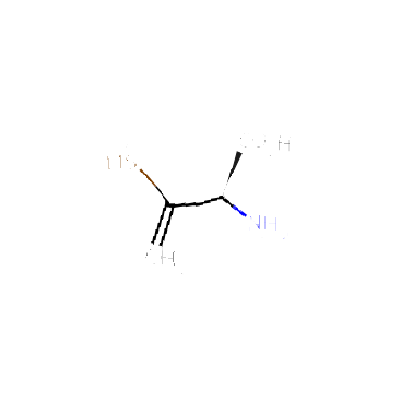 C=C(S)[C@H](N)C(=O)O